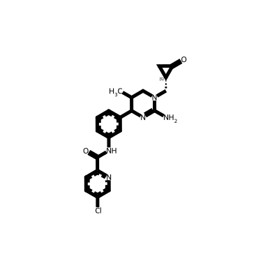 CC1CN(C[C@@H]2CC2=O)C(N)=NC1c1cccc(NC(=O)c2ccc(Cl)cn2)c1